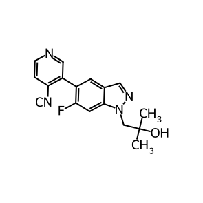 CC(C)(O)Cn1ncc2cc(-c3cnccc3C#N)c(F)cc21